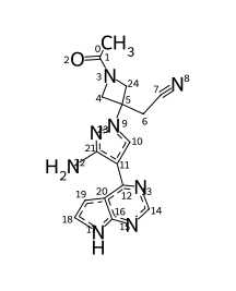 CC(=O)N1CC(CC#N)(n2cc(-c3ncnc4[nH]ccc34)c(N)n2)C1